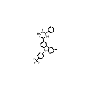 Cc1ccc2c(c1)c1cc(C(=O)N[C@H](c3ccccc3)[C@H](C)O)ccc1n2-c1ccc(C(F)(F)F)cc1